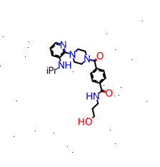 CC(C)Nc1cccnc1N1CCN(C(=O)c2ccc(C(=O)NCCCO)cc2)CC1